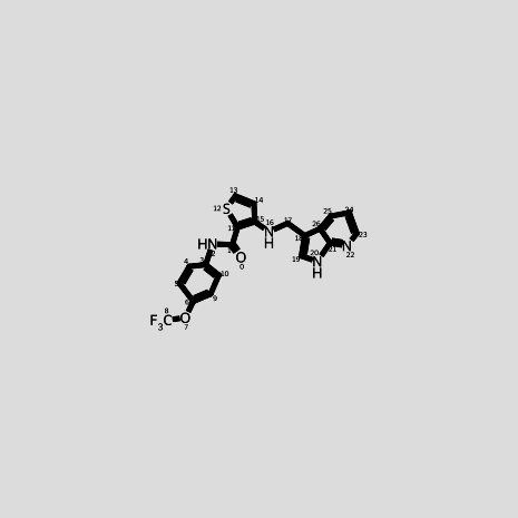 O=C(Nc1ccc(OC(F)(F)F)cc1)c1sccc1NCc1c[nH]c2ncccc12